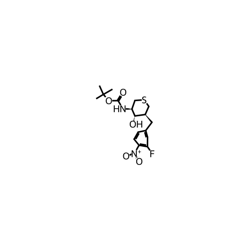 CC(C)(C)OC(=O)N[C@H]1CSC[C@@H](Cc2ccc([N+](=O)[O-])c(F)c2)[C@@H]1O